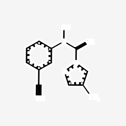 C#Cc1cccc(N(O)C(=N)n2cc(N)cn2)c1